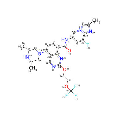 Cc1cn2cc(NC(=O)c3ccc(N4C[C@@H](C)N[C@@H](C)C4)c4cnc(OCCOC(F)(F)F)nc34)cc(F)c2n1